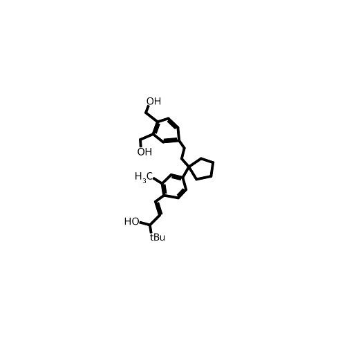 Cc1cc(C2(CCc3ccc(CO)c(CO)c3)CCCC2)ccc1C=CC(O)C(C)(C)C